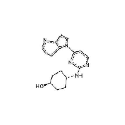 O[C@H]1CC[C@H](Nc2nccc(-n3ccc4ncccc43)n2)CC1